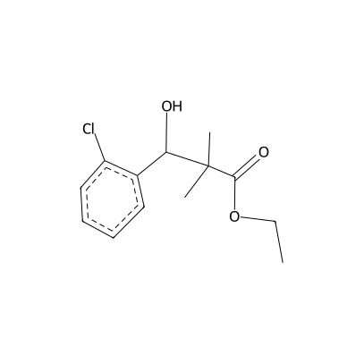 CCOC(=O)C(C)(C)C(O)c1ccccc1Cl